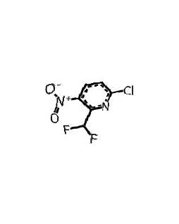 O=[N+]([O-])c1ccc(Cl)nc1C(F)F